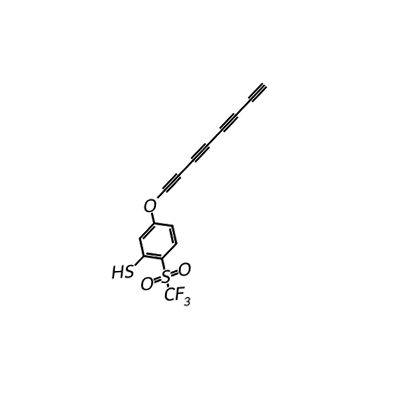 C#CC#CC#CC#COc1ccc(S(=O)(=O)C(F)(F)F)c(S)c1